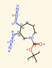 CC(C)(C)OC(=O)N1CCC[C@H](N=[N+]=[N-])[C@H](N=[N+]=[N-])C1